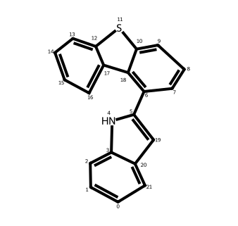 c1ccc2[nH]c(-c3cccc4sc5ccccc5c34)cc2c1